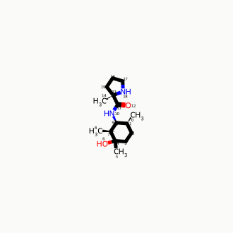 C[C@@H]1CCC(C)(O)[C@@H](C)[C@H]1NC(=O)[C@@]1(C)CCCN1